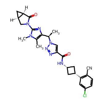 Cc1c([C@@H](C)n2cc(C(=O)N[C@H]3C[C@@H](c4cc(Cl)ccc4C#N)C3)nn2)nc(N2C[C@H]3C[C@H]3C2=O)n1C